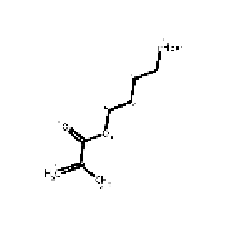 C=C(C)C(=O)OCCCC[CH]CCCCC